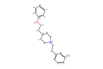 Clc1cccc(CCN2CCC(CCOc3ccccc3)CC2)c1